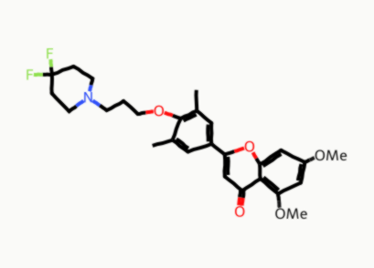 COc1cc(OC)c2c(=O)cc(-c3cc(C)c(OCCCN4CCC(F)(F)CC4)c(C)c3)oc2c1